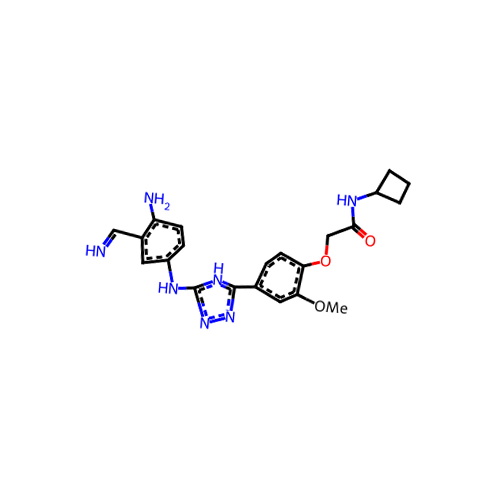 COc1cc(-c2nnc(Nc3ccc(N)c(C=N)c3)[nH]2)ccc1OCC(=O)NC1CCC1